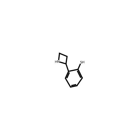 Sc1ccccc1C1CCN1